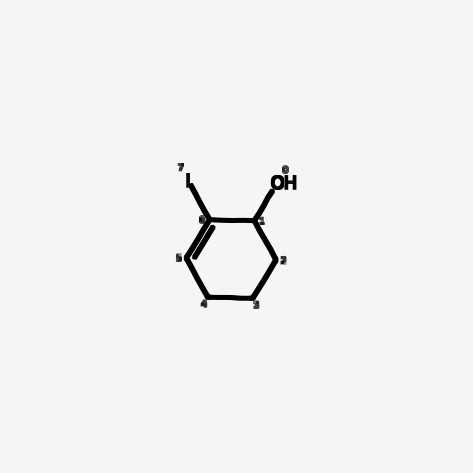 OC1CCCC=C1I